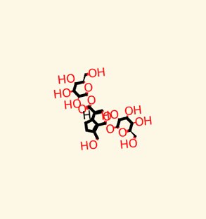 O=C(O[C@@H]1O[C@H](CO)[C@@H](O)[C@H](O)[C@H]1O)C1=CO[C@@H](O[C@@H]2O[C@H](CO)[C@@H](O)[C@H](O)[C@H]2O)C2=C(CO)CC[C@H]12